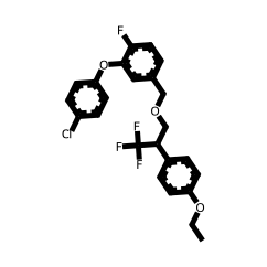 CCOc1ccc(C(COCc2ccc(F)c(Oc3ccc(Cl)cc3)c2)C(F)(F)F)cc1